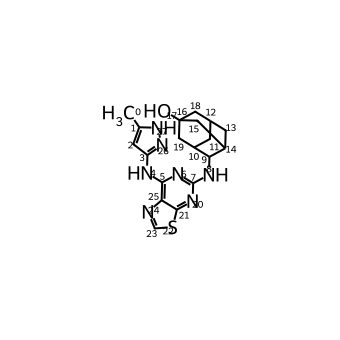 Cc1cc(Nc2nc(NC3C4CC5CC3CC(O)(C5)C4)nc3scnc23)n[nH]1